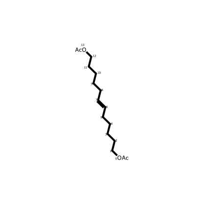 CC(=O)OCCCCCC=CCCCCCOC(C)=O